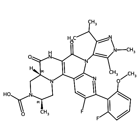 COc1cccc(F)c1-c1nc2c(cc1F)c1c(c(=O)n2-c2c(C(C)C)nn(C)c2C)NC(=O)[C@H]2CN(C(=O)O)[C@H](C)CN12